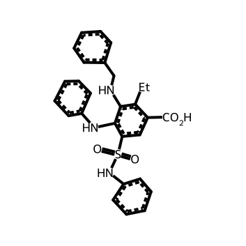 CCc1c(C(=O)O)cc(S(=O)(=O)Nc2ccccc2)c(Nc2ccccc2)c1NCc1ccccc1